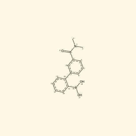 CN(C)C(=O)c1cccc(-c2ccccc2B(O)O)c1